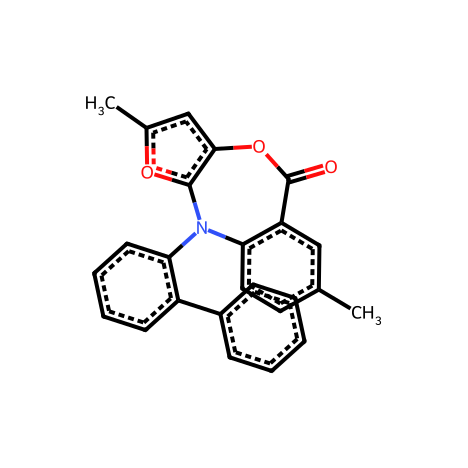 Cc1ccc2c(c1)C(=O)Oc1cc(C)oc1N2c1ccccc1-c1ccccc1